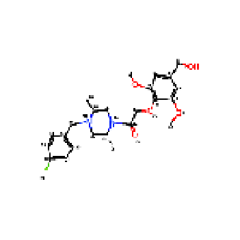 COc1cc(CO)cc(OC)c1OCC(=O)N1C[C@H](C)N(Cc2ccc(F)cc2)C[C@H]1C